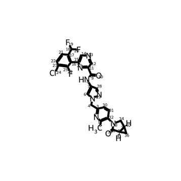 Cc1nc(Cn2cc(NC(=O)c3cncc(-c4c(C(F)F)ccc(Cl)c4F)n3)cn2)ccc1N1C[C@H]2C[C@H]2C1=O